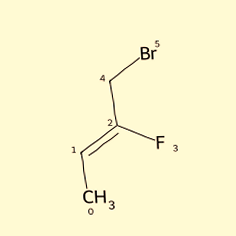 C/C=C(\F)CBr